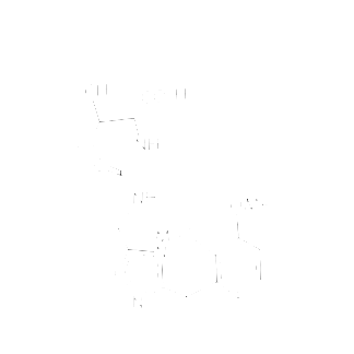 COc1cccc(Cc2noc(CNC(=O)NC(C(=O)O)C(C)O)n2)c1OC